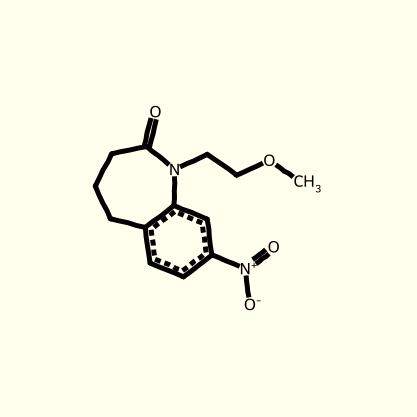 COCCN1C(=O)CCCc2ccc([N+](=O)[O-])cc21